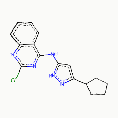 Clc1nc(Nc2cc(C3CCCC3)n[nH]2)c2ccccc2n1